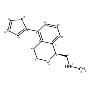 CNC[C@H]1OCCc2c(-c3cncs3)cccc21